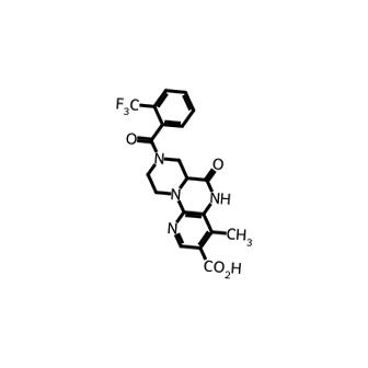 Cc1c(C(=O)O)cnc2c1NC(=O)C1CN(C(=O)c3ccccc3C(F)(F)F)CCN21